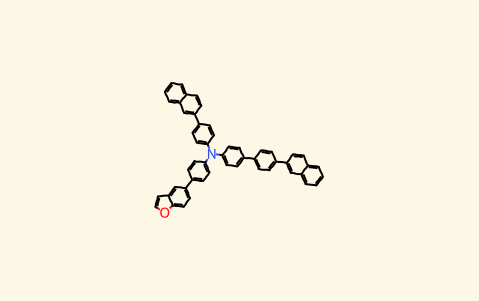 c1ccc2cc(-c3ccc(-c4ccc(N(c5ccc(-c6ccc7ccccc7c6)cc5)c5ccc(-c6ccc7occc7c6)cc5)cc4)cc3)ccc2c1